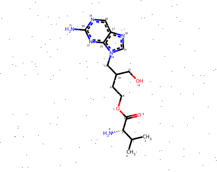 CC(C)[C@H](N)C(=O)OCCC(CO)Cn1cnc2cnc(N)nc21